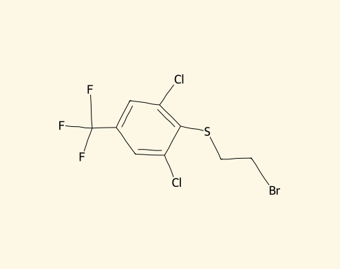 FC(F)(F)c1cc(Cl)c(SCCBr)c(Cl)c1